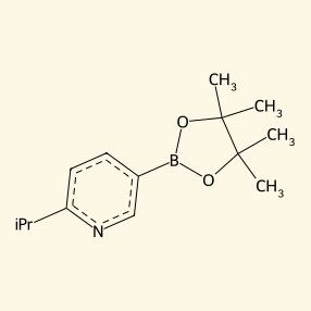 CC(C)c1ccc(B2OC(C)(C)C(C)(C)O2)cn1